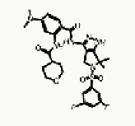 CN(C)c1ccc(C(=O)Nc2n[nH]c3c2CN(S(=O)(=O)c2cc(F)cc(F)c2)C3(C)C)c(NC(=O)C2CCOCC2)c1